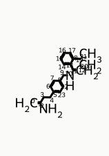 C=C(N)CCc1ccc(CNC(=C)c2ccccc2C(=C)C)cc1